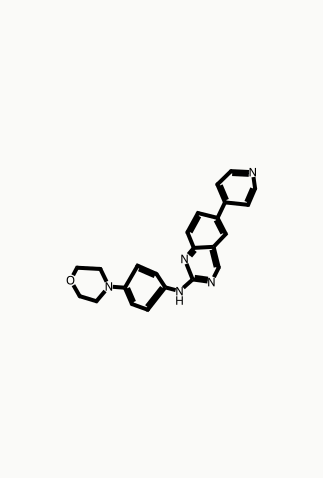 c1cc(-c2ccc3nc(Nc4ccc(N5CCOCC5)cc4)ncc3c2)ccn1